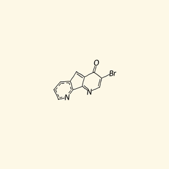 O=C1C(Br)=CN=C2C1=Cc1cccnc12